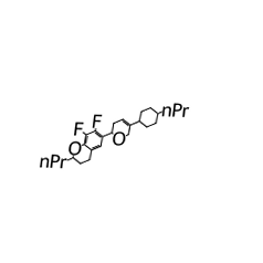 CCCC1CCC(C2=CCC(c3cc4c(c(F)c3F)OC(CCC)CC4)OC2)CC1